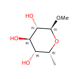 CO[C@H]1O[C@H](C)[C@H](O)[C@@H](O)[C@@H]1O